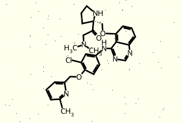 Cc1cccc(COc2ccc(Nc3ncnc4cccc(OC[C@]5(C(=O)CN(C)C)CCCN5)c34)cc2Cl)n1